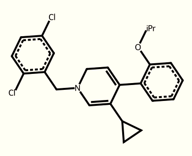 CC(C)Oc1ccccc1C1=CCN(Cc2cc(Cl)ccc2Cl)C=C1C1CC1